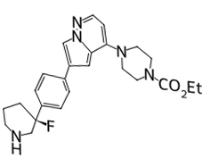 CCOC(=O)N1CCN(c2ccnn3cc(-c4ccc([C@@]5(F)CCCNC5)cc4)cc23)CC1